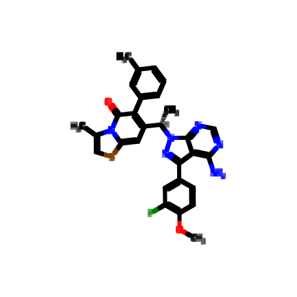 COc1ccc(-c2nn([C@@H](C)c3cc4scc(C)n4c(=O)c3-c3cccc(C)c3)c3ncnc(N)c23)cc1F